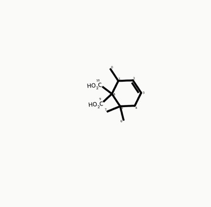 CC1C=CCC(C)(C)C1(C(=O)O)C(=O)O